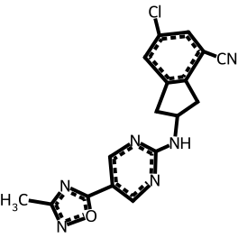 Cc1noc(-c2cnc(NC3Cc4cc(Cl)cc(C#N)c4C3)nc2)n1